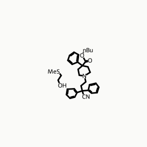 CCCCOC(=O)C1(c2ccccc2)CCN(CCC(C#N)(c2ccccc2)c2ccccc2)CC1.CSCCO